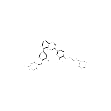 COc1cc(-c2cnc3cccc(-c4ccc(CN5CCS(O)(O)CC5)c(F)c4)c3n2)ccc1OCCCN1CCOCC1